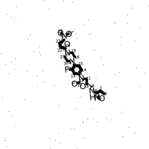 O=C1O[C@@H](CNc2ccon2)CN1c1ccc(N2CCN(c3ccc([N+](=O)[O-])o3)CC2)c(F)c1